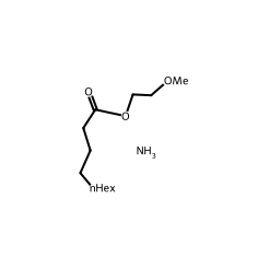 CCCCCCCCCC(=O)OCCOC.N